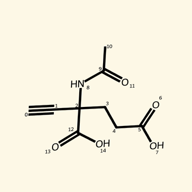 C#CC(CCC(=O)O)(NC(C)=O)C(=O)O